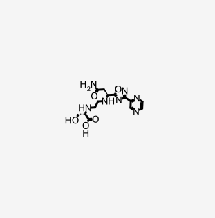 NC(=O)C[C@H](NCCN[C@@H](CO)C(=O)O)c1nc(-c2cnccn2)no1